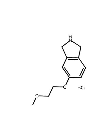 COCCOc1ccc2c(c1)CNC2.Cl